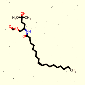 CCCCCCCC/C=C\CCCCCCCC(=O)NC(CCC(C)(C)O)COC=O